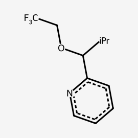 CC(C)C(OCC(F)(F)F)c1ccccn1